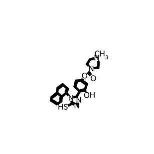 CN1CCN(C(=O)Oc2ccc(-c3nnc(S)n3-c3cccc4ccccc34)c(O)c2)CC1